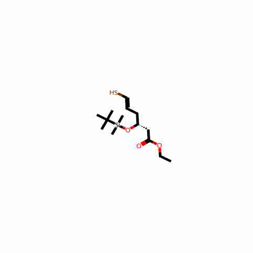 CCOC(=O)C[C@@H](C/C=C/S)O[Si](C)(C)C(C)(C)C